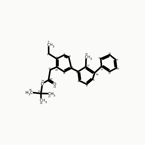 CCc1ccc(-c2cccc(-c3ccccc3)c2C)cc1CC(=O)OC(C)(C)C